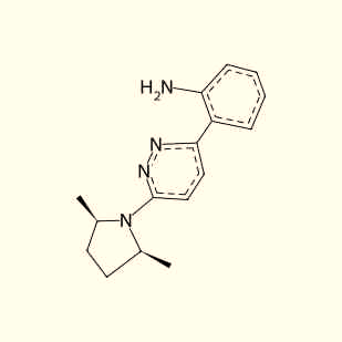 C[C@@H]1CC[C@H](C)N1c1ccc(-c2ccccc2N)nn1